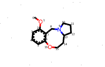 COc1cccc2c1CN1CCCC1CCO2